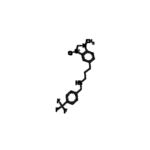 CN1C[S+]([O-])c2cc(CCCNCc3ccc(C(F)(F)F)cc3)ccc21